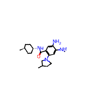 CNc1cc(N2CCC(C)C2)c(C(=O)N[C@H]2CC[C@H](C)CC2)cc1N